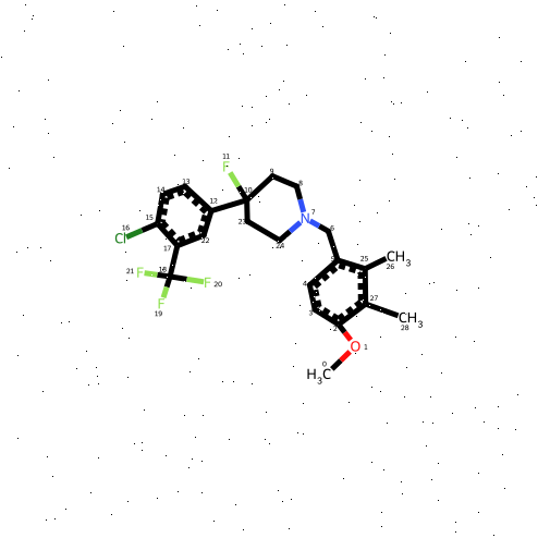 COc1ccc(CN2CCC(F)(c3ccc(Cl)c(C(F)(F)F)c3)CC2)c(C)c1C